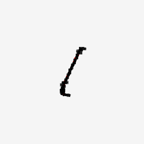 CNC(=O)CCC(=O)NCCOCCOCCOCCOCCOCCOCCOCCOCCOCCOCCOCCNC(=O)CNC(=O)OC1CC[C@@]2(C)C(=CC[C@H]3[C@@H]4CC[C@H]([C@H](C)CCCC(C)C)[C@@]4(C)CC[C@@H]32)C1